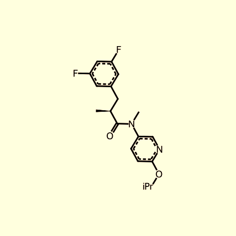 CC(C)Oc1ccc(N(C)C(=O)[C@@H](C)Cc2cc(F)cc(F)c2)cn1